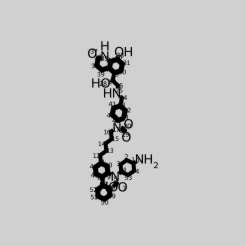 NC1CCC(N(C(=O)O)c2cc(CCCCCn3c(=O)oc4cc(CNC[C@H](O)c5ccc(O)c6[nH]c(=O)ccc56)ccc43)ccc2-c2ccccc2)CC1